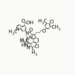 Cc1cc(OCCCc2c3n(c4c(-c5c(C)n[nH]c5C)c(Cl)ccc24)C(C)CN(c2cc(C(=O)O)c4ccn(C)c4c2)C3=O)cc(C)c1Cl